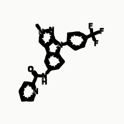 Cn1cc2c3cc(NC(=O)c4ccccn4)ccc3n(-c3ccc(C(F)(F)F)cc3)c2n1